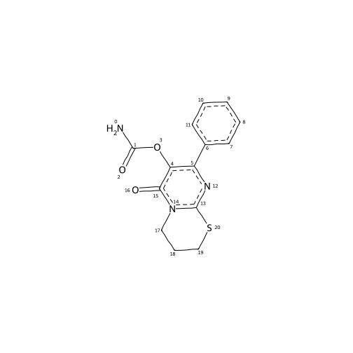 NC(=O)Oc1c(-c2ccccc2)nc2n(c1=O)CCCS2